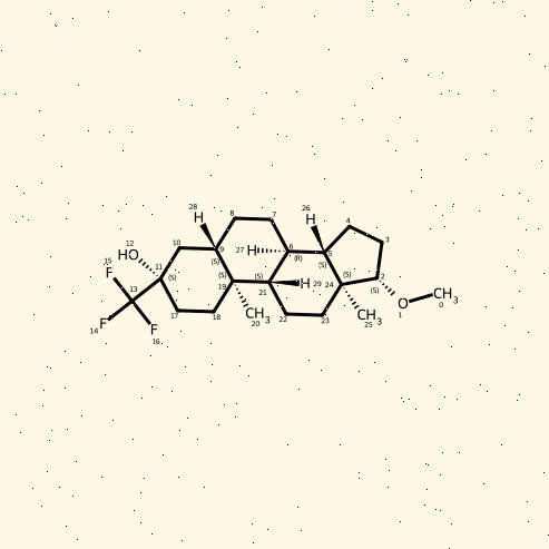 CO[C@H]1CC[C@H]2[C@@H]3CC[C@H]4C[C@](O)(C(F)(F)F)CC[C@]4(C)[C@H]3CC[C@]12C